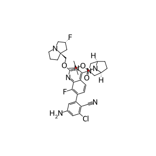 CC(C)(C)OC(=O)N1[C@@H]2CC[C@H]1CN(c1nc(OC[C@@]34CCCN3C[C@H](F)C4)nc3c(F)c(-c4cc(N)cc(Cl)c4C#N)ccc13)C2